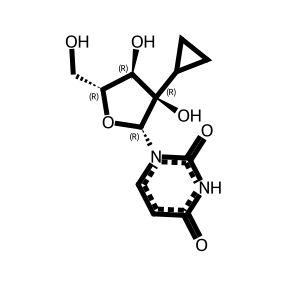 O=c1ccn([C@@H]2O[C@H](CO)[C@@H](O)[C@]2(O)C2CC2)c(=O)[nH]1